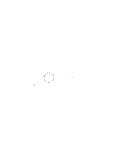 COc1ccc(CCCN(C)C=O)cc1